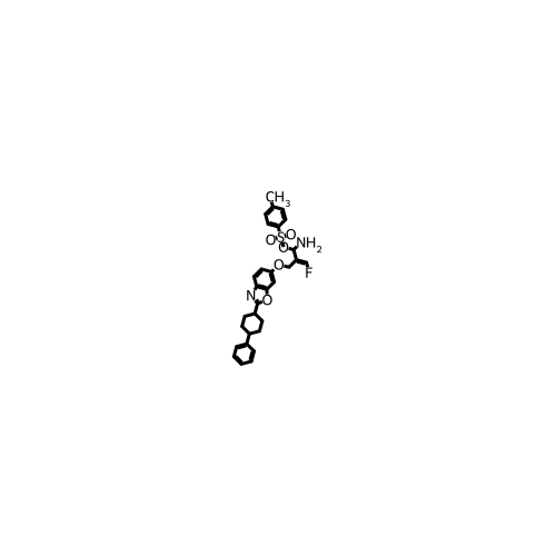 Cc1ccc(S(=O)(=O)OC(N)/C(=C/F)COc2ccc3nc(C4CCC(c5ccccc5)CC4)oc3c2)cc1